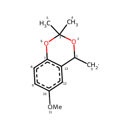 [CH2]C1OC(C)(C)Oc2ccc(OC)cc21